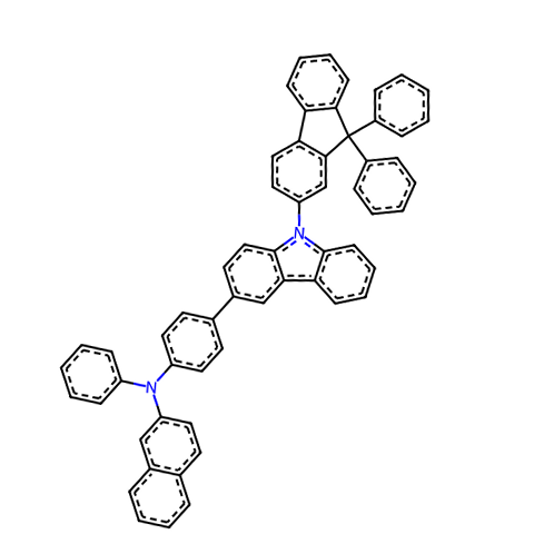 c1ccc(N(c2ccc(-c3ccc4c(c3)c3ccccc3n4-c3ccc4c(c3)C(c3ccccc3)(c3ccccc3)c3ccccc3-4)cc2)c2ccc3ccccc3c2)cc1